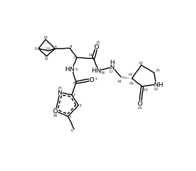 Cc1cc(C(=O)NC(CC23CC(C2)C3)C(=O)NNC[C@@H]2CCNC2=O)no1